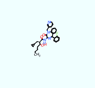 CCCC[C@H](O)[C@@H](CC1CC1)C(=O)NC1N=C(c2ccccc2F)c2ccccc2N(Cc2cccnc2)C1=O